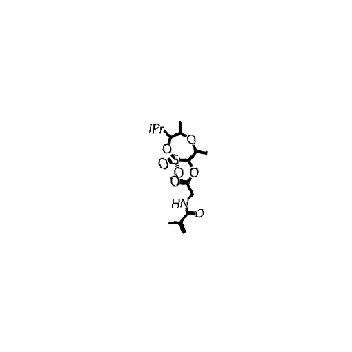 C=C(C)C(=O)NCC(=O)OC1C(C)OC(C)C(C(C)C)OS1(=O)=O